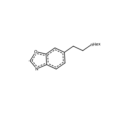 CCCCCCCCc1ccc2n[c]oc2c1